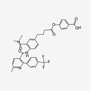 Cc1ccc(C(=O)Nc2ccc(CCCC(=O)Oc3ccc(C(=O)O)cc3)cc2C(=O)N(C)C)c(-c2ccc(C(F)(F)F)cc2)n1